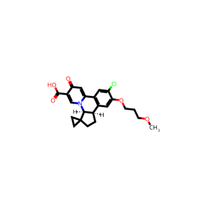 COCCCOc1cc2c(cc1Cl)-c1cc(=O)c(C(=O)O)cn1[C@H]1[C@@H]2CCC12CC2